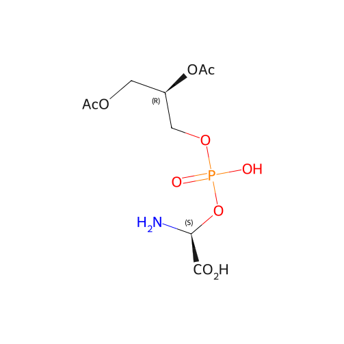 CC(=O)OC[C@H](COP(=O)(O)O[C@H](N)C(=O)O)OC(C)=O